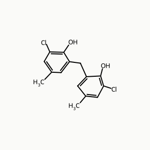 Cc1cc(Cl)c(O)c(Cc2cc(C)cc(Cl)c2O)c1